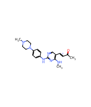 CNc1nc(Nc2ccc(N3CCN(C)CC3)cc2)ncc1/C=C/C(C)=O